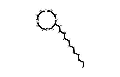 CCCCCCCCCCCCC1COCCOCCOCCO1